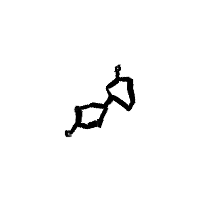 Clc1cccc(-c2cnc(Cl)cn2)c1